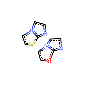 c1cn2ccoc2n1.c1cn2ccsc2n1